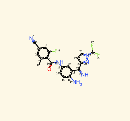 Cc1cc(C#N)cc(F)c1C(=O)Nc1ccc(N)c(C(=N)c2ccn(C(F)F)n2)c1